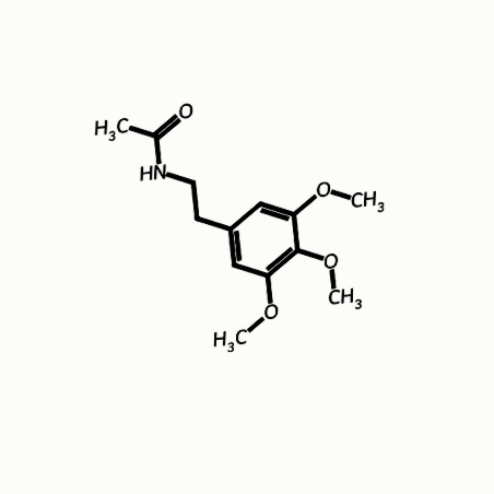 COc1cc(CCNC(C)=O)cc(OC)c1OC